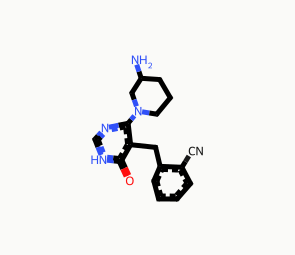 N#Cc1ccccc1Cc1c(N2CCCC(N)C2)nc[nH]c1=O